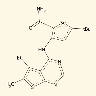 CCc1c(C)sc2ncnc(Nc3cc(C(C)(C)C)[se]c3C(N)=O)c12